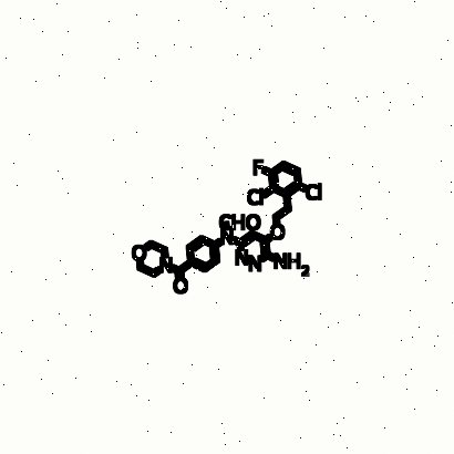 Nc1nnc(N(C=O)c2ccc(C(=O)N3CCOCC3)cc2)cc1OCCc1c(Cl)ccc(F)c1Cl